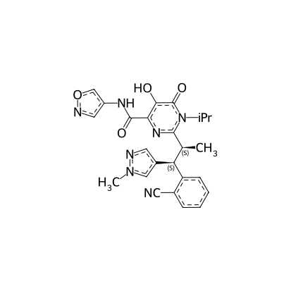 CC(C)n1c([C@@H](C)[C@H](c2cnn(C)c2)c2ccccc2C#N)nc(C(=O)Nc2cnoc2)c(O)c1=O